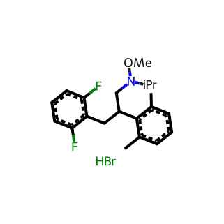 Br.CON(CC(Cc1c(F)cccc1F)c1c(C)cccc1C)C(C)C